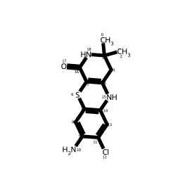 CC1(C)CC2=C(Sc3cc(N)c(Cl)cc3N2)C(=O)N1